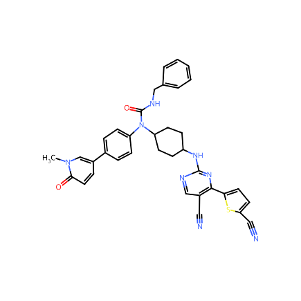 Cn1cc(-c2ccc(N(C(=O)NCc3ccccc3)C3CCC(Nc4ncc(C#N)c(-c5ccc(C#N)s5)n4)CC3)cc2)ccc1=O